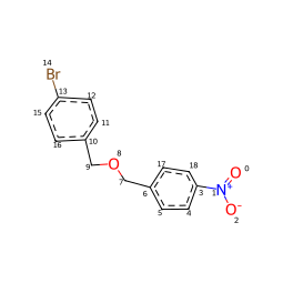 O=[N+]([O-])c1ccc(COCc2ccc(Br)cc2)cc1